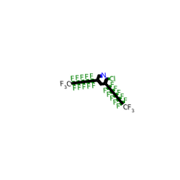 FC(F)(F)C(F)(F)C(F)(F)C(F)(F)C(F)(F)C(F)(F)c1cnc(Cl)c(C(F)(F)C(F)(F)C(F)(F)C(F)(F)C(F)(F)C(F)(F)F)c1